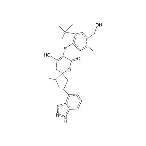 Cc1cc(SC2=C(O)CC(CCc3cccc4[nH]ncc34)(C(C)C)OC2=O)c(C(C)(C)C)cc1CO